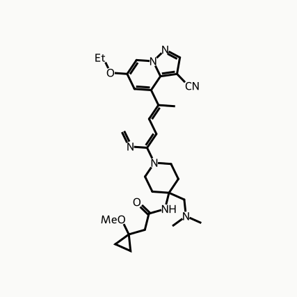 C=N/C(=C\C=C(/C)c1cc(OCC)cn2ncc(C#N)c12)N1CCC(CN(C)C)(NC(=O)CC2(OC)CC2)CC1